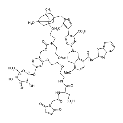 COCCN(CCOC12CC3(C)CC(C)(CC(Cn4ncc(-c5ccc(N6CCc7c(OC)ccc(C(=O)Nc8nc9ccccc9s8)c7C6)nc5C(=O)O)c4C)(C3)C1)C2)C(=O)OCc1ccc(O[C@@H]2O[C@H](C(=O)O)[C@@H](O)[C@H](O)[C@H]2O)cc1OCCOCCNC(=O)C(CS(=O)(=O)O)NC(=O)CN1C(=O)C=CC1=O